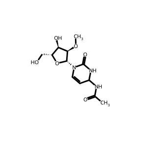 CO[C@@H]1[C@H](O)[C@@H](CO)O[C@H]1N1C=CC(NC(C)=O)NC1=O